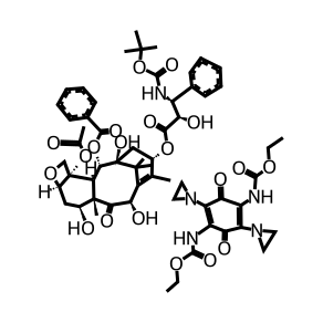 CC(=O)O[C@@]12CO[C@@H]1C[C@H](O)[C@@]1(C)C(=O)[C@H](O)C3=C(C)[C@@H](OC(=O)[C@H](O)[C@@H](NC(=O)OC(C)(C)C)c4ccccc4)C[C@@](O)([C@@H](OC(=O)c4ccccc4)[C@H]21)C3(C)C.CCOC(=O)NC1=C(N2CC2)C(=O)C(NC(=O)OCC)=C(N2CC2)C1=O